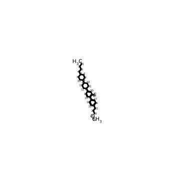 CCCCCC1CCC(C2CCC(c3ccc(-c4ccc(CCCOC)cc4)c(F)c3)CC2)CC1